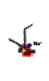 CCCCCCCC/C=C\CCCCCCCCCCCCCC(=O)N[C@@H](CO[C@@H]1O[C@H](COS(=O)(=O)O)[C@@H](OS(=O)(=O)O)[C@H](OC(=O)c2ccccc2)[C@H]1OC(=O)c1ccccc1)[C@@H](/C=C/CCCCCCCCCCCCC)OC(=O)c1ccccc1.[Na+].[Na+]